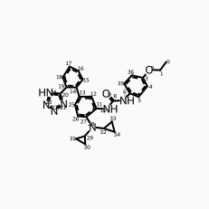 CCOc1ccc(NC(=O)Nc2cc(-c3ccccc3-c3nnn[nH]3)ccc2N(C2CC2)C2CC2)cc1